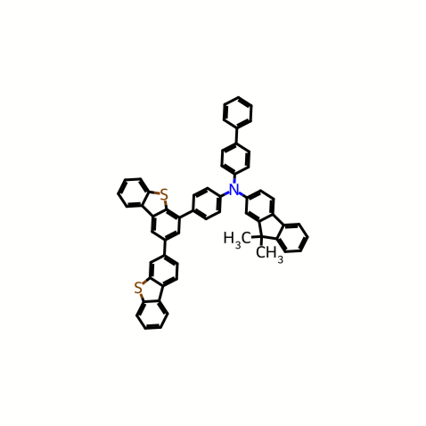 CC1(C)c2ccccc2-c2ccc(N(c3ccc(-c4ccccc4)cc3)c3ccc(-c4cc(-c5ccc6c(c5)sc5ccccc56)cc5c4sc4ccccc45)cc3)cc21